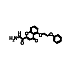 NNC(=O)c1cc(=O)c2c(OCCOc3ccccc3)cccc2o1